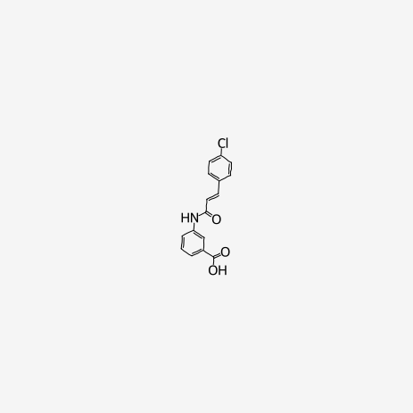 O=C(/C=C/c1ccc(Cl)cc1)Nc1cccc(C(=O)O)c1